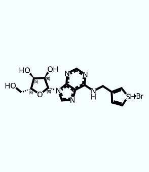 OC[C@H]1O[C@@H](n2cnc3c(NCC4=C[SH](Br)C=C4)ncnc32)[C@H](O)[C@@H]1O